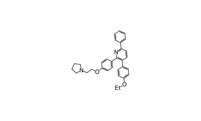 CCOc1ccc(-c2ccc(-c3ccccc3)nc2-c2ccc(OCCN3CCCC3)cc2)cc1